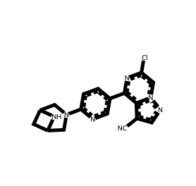 N#Cc1cnn2cc(Cl)nc(-c3ccc(N4CC5CC(C4)N5)nc3)c12